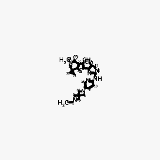 CCN1CC2(C1)CN(c1ccc(Nc3ncc(Cl)c(-c4sc5c(c4C)C(=O)N(C)CC54CC4)n3)nc1)C2